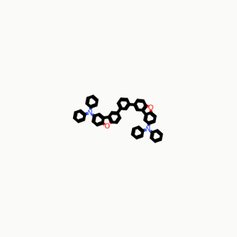 c1ccc(N(c2ccccc2)c2ccc3oc4ccc(-c5cccc(-c6ccc7oc8ccc(N(c9ccccc9)c9ccccc9)cc8c7c6)c5)cc4c3c2)cc1